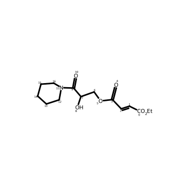 CCOC(=O)/C=C/C(=O)OCC(O)C(=O)N1CCCCC1